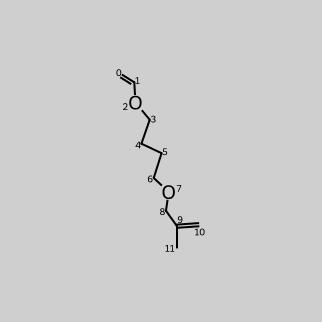 C=COCCCCOCC(=C)C